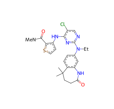 CCN(c1ccc2c(c1)NC(=O)CCC2(C)C)c1ncc(Cl)c(Nc2ccsc2C(=O)NC)n1